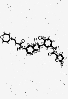 O=C(CCN1CCOCC1)Nc1cnc2nc(-c3cc(NC(=O)c4ccc(F)o4)ccc3Cl)[nH]c2c1